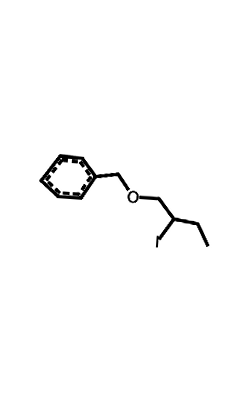 CCC(I)COCc1ccccc1